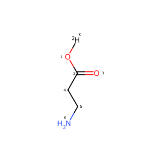 [2H]OC(=O)CCN